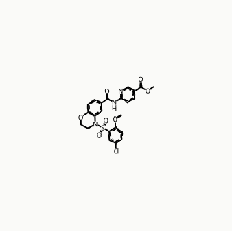 COC(=O)c1ccc(NC(=O)c2ccc3c(c2)N(S(=O)(=O)c2cc(Cl)ccc2OC)CCO3)nc1